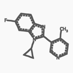 Cc1ccncc1-c1nc2ccc(F)cc2n1C1CC1